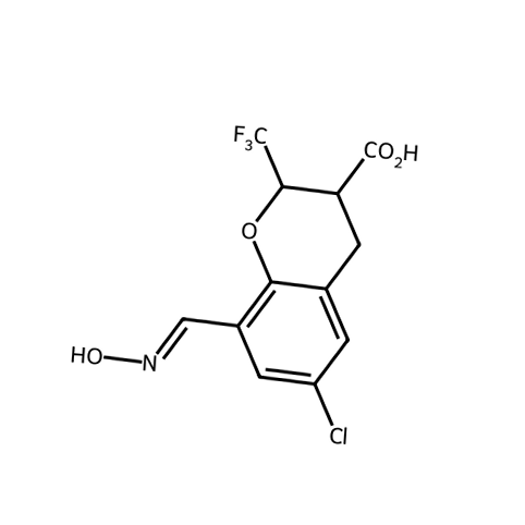 O=C(O)C1Cc2cc(Cl)cc(C=NO)c2OC1C(F)(F)F